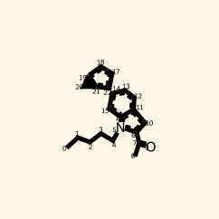 CCCCCn1c(C(C)=O)cc2ccccc21.c1cc2cc-2c1